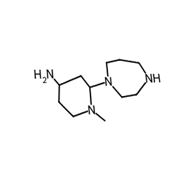 CN1CCC(N)CC1N1CCCNCC1